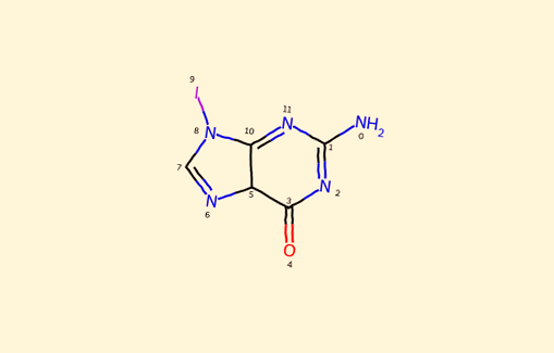 NC1=NC(=O)C2N=CN(I)C2=N1